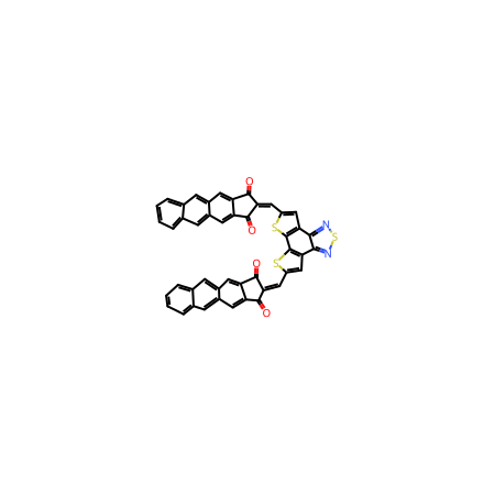 O=C1C(=Cc2cc3c4nsnc4c4cc(C=C5C(=O)c6cc7cc8ccccc8cc7cc6C5=O)sc4c3s2)C(=O)c2cc3cc4ccccc4cc3cc21